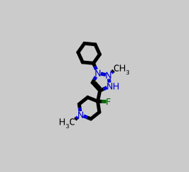 CN1CCC(F)(C2=CN(C3CCCCC3)N(C)N2)CC1